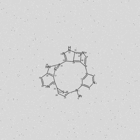 CC(C)n1c2cncc(c2)c2cnc3[nH]nc(c4nc5c(ccnc5c5ccc1s5)[nH]4)c3c2F